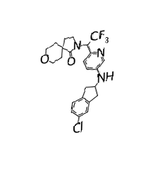 O=C1N(C(c2ccc(NC3Cc4ccc(Cl)cc4C3)cn2)C(F)(F)F)CCC12CCOCC2